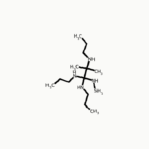 CCCNC(C)(C)C(N[SiH3])(NCCC)NCCC